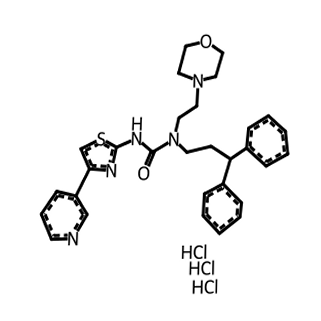 Cl.Cl.Cl.O=C(Nc1nc(-c2cccnc2)cs1)N(CCC(c1ccccc1)c1ccccc1)CCN1CCOCC1